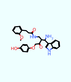 COc1ccccc1CCC(=O)NCC(C(=O)COc1ccc(O)cc1)C(N)c1c[nH]c2ccccc12